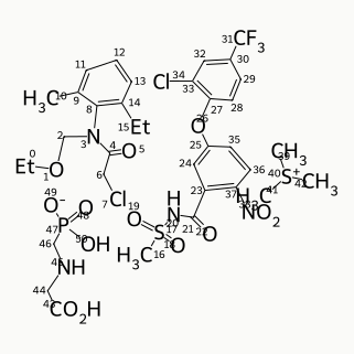 CCOCN(C(=O)CCl)c1c(C)cccc1CC.CS(=O)(=O)NC(=O)c1cc(Oc2ccc(C(F)(F)F)cc2Cl)ccc1[N+](=O)[O-].C[S+](C)C.O=C(O)CNCP(=O)([O-])O